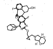 C#Cc1c(F)ccc2c1C(c1c(Cl)cc3c(N4CC5CCC(C4)N5)nc(OCC4(CN5C[C@@H]6OCCO[C@@H]6C5)CC4)nc3c1F)C[C@H](O)C2